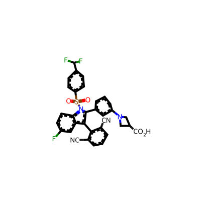 N#Cc1cccc(C#N)c1-c1c(-c2cccc(N3CC(C(=O)O)C3)c2)n(S(=O)(=O)c2ccc(C(F)F)cc2)c2ccc(F)cc12